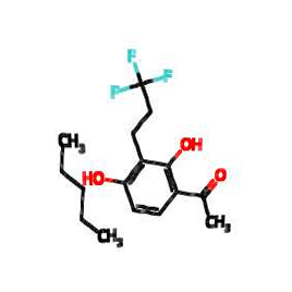 CC(=O)c1ccc(O)c(CCC(F)(F)F)c1O.CCCCC